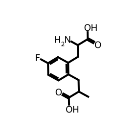 CC(Cc1ccc(F)cc1CC(N)C(=O)O)C(=O)O